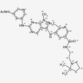 CC(=O)Nc1cncc(Nc2ncc3c(Nc4cc(C(=O)NCCN5CCCC5(C)C)cnc4C)nn(C)c3n2)c1